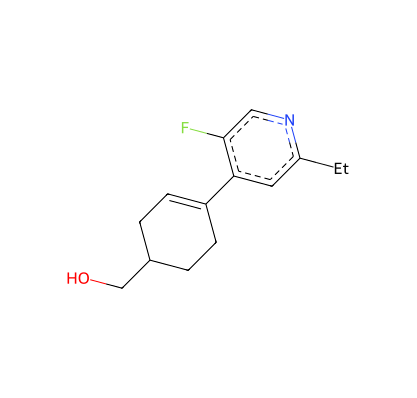 CCc1cc(C2=CCC(CO)CC2)c(F)cn1